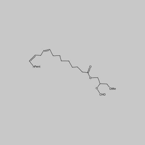 CCCCC/C=C\C/C=C\CCCCCCCC(=O)OCC(COC)OC=O